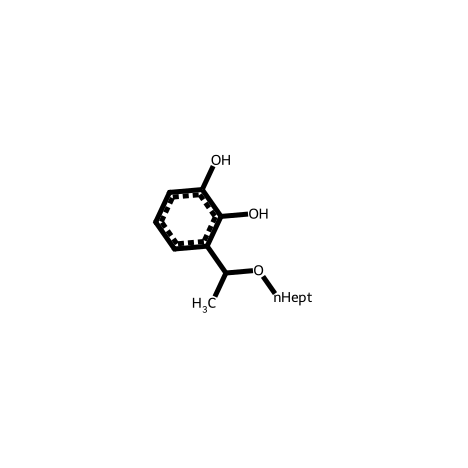 CCCCCCCOC(C)c1cccc(O)c1O